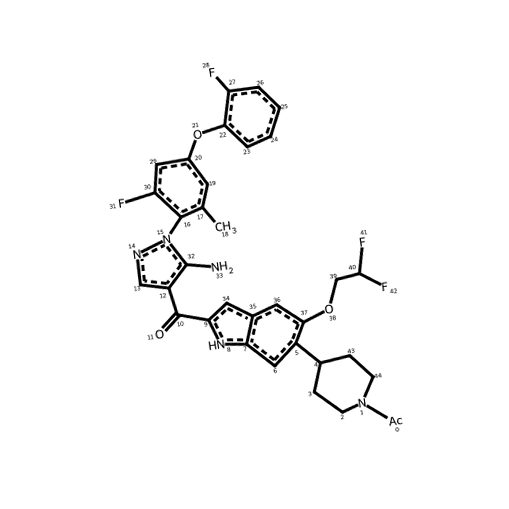 CC(=O)N1CCC(c2cc3[nH]c(C(=O)c4cnn(-c5c(C)cc(Oc6ccccc6F)cc5F)c4N)cc3cc2OCC(F)F)CC1